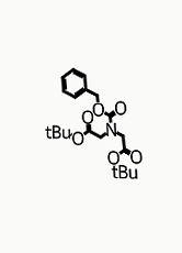 CC(C)(C)OC(=O)CN(CC(=O)OC(C)(C)C)C(=O)OCc1ccccc1